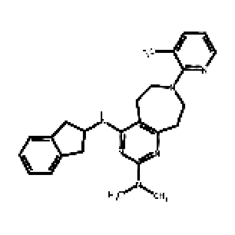 CN(C)c1nc2c(c(NC3Cc4ccccc4C3)n1)CCN(c1ncccc1C(F)(F)F)CC2